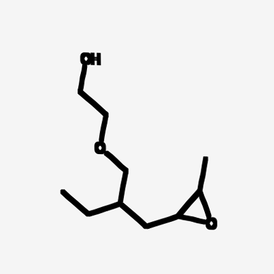 CCC(COCCO)CC1OC1C